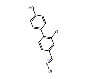 O/N=C/c1ccc(-c2ccc(O)cc2)c(Cl)c1